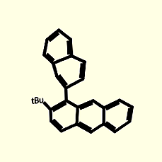 CC(C)(C)c1ccc2cc3ccccc3cc2c1-c1ccc2ccccc2c1